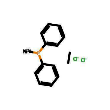 CC.[Cl-].[Cl-].[Ni+2][P](c1ccccc1)c1ccccc1